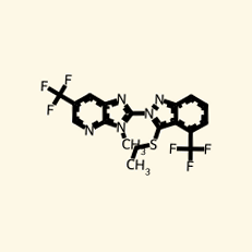 CCSc1c2c(C(F)(F)F)cccc2nn1-c1nc2cc(C(F)(F)F)cnc2n1C